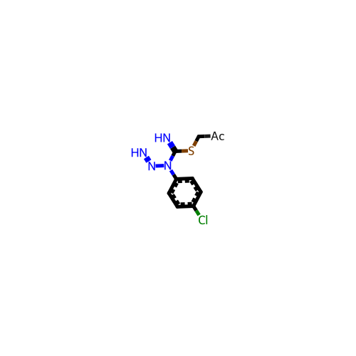 CC(=O)CSC(=N)N(N=N)c1ccc(Cl)cc1